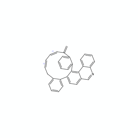 C=C1/C=C\C=C/Cc2ccccc2-c2ccc3cnc4ccccc4c3c2-c2ccccc21